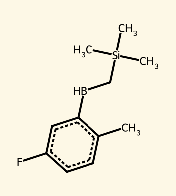 Cc1ccc(F)cc1BC[Si](C)(C)C